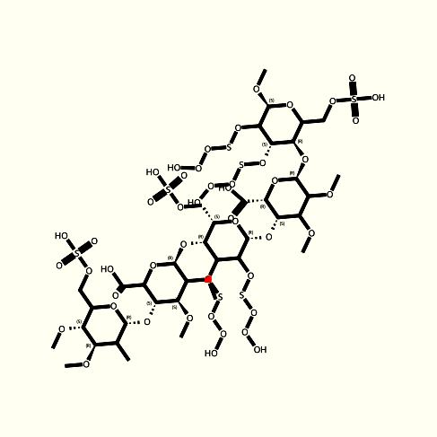 COC1C(OC)[C@H](O[C@H]2O[C@@H](COS(=O)(=O)O)[C@@H](O[C@@H]3OC(C(=O)O)[C@@H](O[C@H]4OC(COS(=O)(=O)O)[C@@H](OC)[C@H](OC)C4C)[C@H](OC)C3OC)C(OSOOO)C2OSOOO)[C@H](C(=O)O)O[C@H]1O[C@@H]1C(COS(=O)(=O)O)O[C@H](OC)C(OSOOO)[C@H]1OSOOO